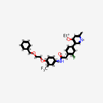 CCOc1cc(C)ncc1-c1ccc(CC(=O)Nc2ccc(OCCOCc3ccccc3)c(C(F)(F)F)c2)c(F)c1